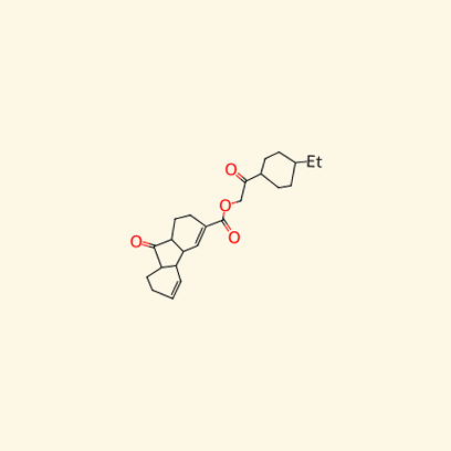 CCC1CCC(C(=O)COC(=O)C2=CC3C(CC2)C(=O)C2CCC=CC23)CC1